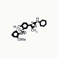 COc1ccccc1NS(=O)(=O)c1cc(-c2sc(NC3CCCCC3)nc2C)ccc1C